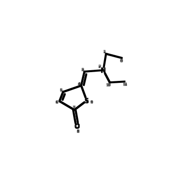 CCN(C=C1C=CC(=O)S1)CC